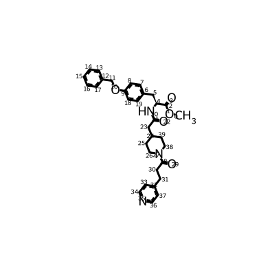 COC(=O)[C@H](Cc1ccc(OCc2ccccc2)cc1)NC(=O)CC1CCN(C(=O)CCc2ccncc2)CC1